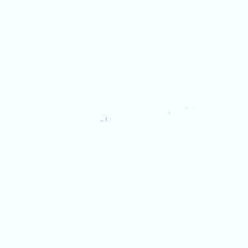 CCC1=[C]([Zr+2](=[C]2CCCCC2)[c]2cccc3c2Cc2ccccc2-3)C(C)C=C1C(C)(C)C.[Cl-].[Cl-]